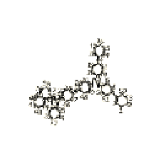 c1ccc(-c2ccc(N(c3ccc(-c4ccccc4)cc3)c3ccc(-c4ccc(N(c5ccccc5)c5cccc6ccccc56)cc4)cc3)cc2)cc1